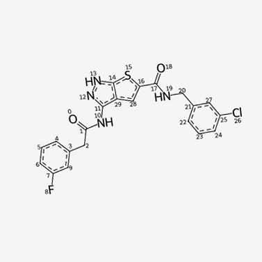 O=C(Cc1cccc(F)c1)Nc1n[nH]c2sc(C(=O)NCc3cccc(Cl)c3)cc12